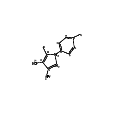 CCCc1nn(-c2ccc(C)cc2)c(C)c1O